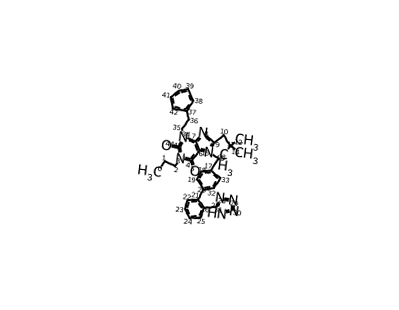 CCCn1c(=O)c2c(nc(CC(C)(C)C)n2Cc2ccc(-c3ccccc3-c3nnn[nH]3)cc2)n(CCc2ccccc2)c1=O